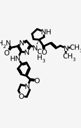 CN(C)C/C=C/C(=O)[C@@]1(N(C)c2cnc(C(N)=O)c(Nc3ccc(C(=O)N4CCOCC4)cc3)n2)CCCNC1